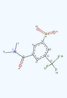 CN(C)C(=O)c1cc([SH](=O)=O)cc(C(F)(F)F)c1